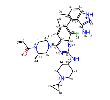 C=CC(=O)N1C[C@H](C)N(c2nc(NC3CCN(C4CC4)CC3)nc3c(F)c(-c4c(C)ccc5[nH]nc(N)c45)c(C)cc23)C[C@H]1C